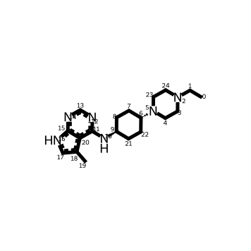 CCN1CCN([C@H]2CC[C@H](Nc3ncnc4[nH]cc(C)c34)CC2)CC1